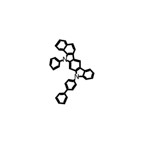 c1ccc(-c2ccc(-n3c4ccccc4c4cc5c6ccc7ccccc7c6n(-c6ccccc6)c5cc43)cc2)cc1